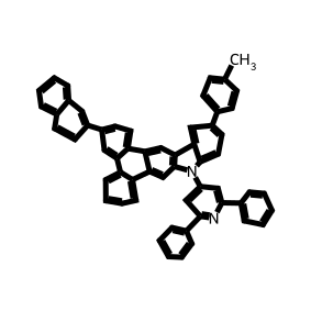 Cc1ccc(-c2ccc3c(c2)c2cc4c5ccc(-c6ccc7ccccc7c6)cc5c5ccccc5c4cc2n3-c2cc(-c3ccccc3)nc(-c3ccccc3)c2)cc1